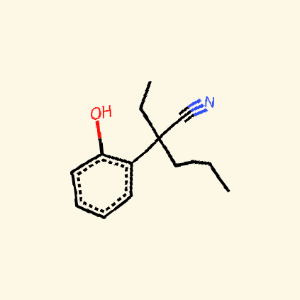 CCCC(C#N)(CC)c1ccccc1O